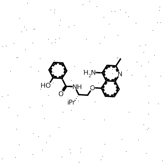 Cc1cc(N)c2c(OC[C@@H](NC(=O)c3ccccc3O)C(C)C)cccc2n1